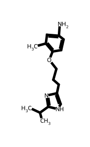 Cc1cc(N)ccc1OCCCc1c[nH]c(C(C)C)n1